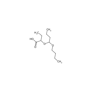 CCCCOC(CCC)OC(CC)C(=O)O